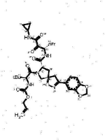 C=CCOC(=O)N[C@H](C(=O)N1C[C@]2(CC(c3ccc4c(c3)OCO4)=NO2)C[C@H]1C(=O)N[C@@H](CCC)C(=O)C(=O)NC1CC1)C(C)(C)C